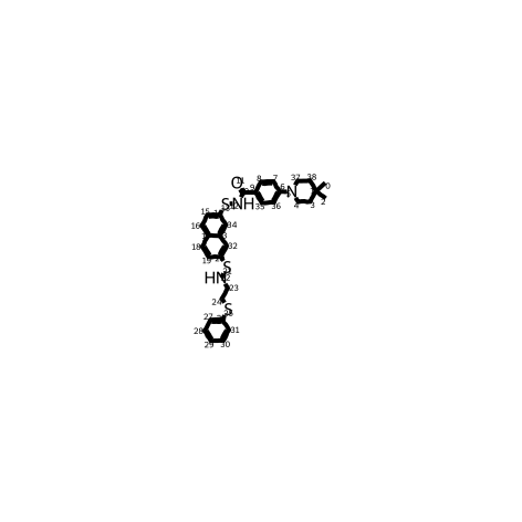 CC1(C)CCN(c2ccc(C(=O)NSc3ccc4ccc(SNCCSc5ccccc5)cc4c3)cc2)CC1